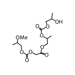 COC(C)COC(=O)OCC(=O)OCC(C)OC(=O)OCC(C)O